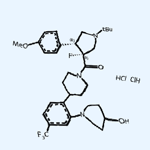 COc1ccc([C@@H]2CN(C(C)(C)C)C[C@@]2(F)C(=O)N2CCC(c3ccc(C(F)(F)F)cc3N3CCC(O)CC3)CC2)cc1.Cl.Cl